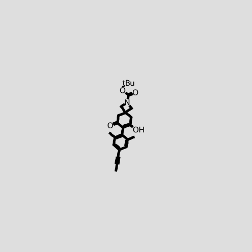 CC#Cc1cc(C)c(C2=C(O)CC3(CC2=O)CN(C(=O)OC(C)(C)C)C3)c(C)c1